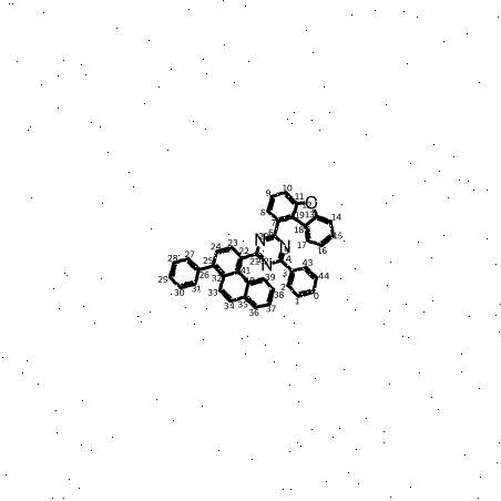 c1ccc(-c2nc(-c3cccc4oc5ccccc5c34)nc(-c3ccc(-c4ccccc4)c4ccc5ccccc5c34)n2)cc1